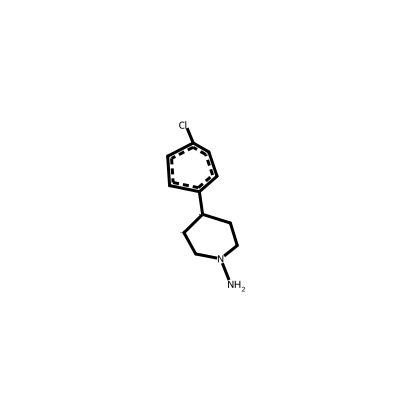 NN1C[CH][C](c2ccc(Cl)cc2)CC1